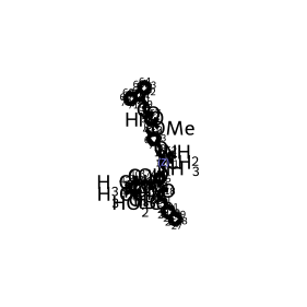 COC(=O)[C@H](Cc1ccc(OC/C(=C/N[C@H]2C[C@@H](C(=O)N[C@@H](Cc3ccc4ccccc4c3)C(=O)O)N(C(=O)[C@H](O)NC(=O)[C@H](C)N(C)C(=O)OC(C)(C)C)C2)N(C)N)cc1)NC(=O)OCC1c2ccccc2-c2ccccc21